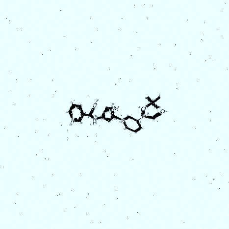 CC(C)(C)ON(C=O)[C@@H]1CCCN(c2cc(NC(=O)c3cccnc3)c[nH]2)C1